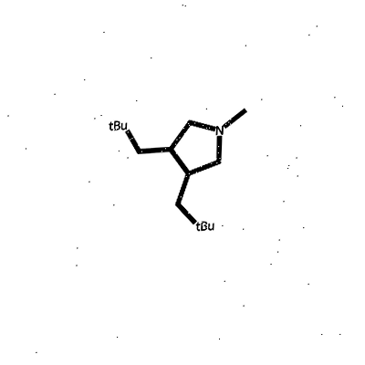 CN1CC(CC(C)(C)C)C(CC(C)(C)C)C1